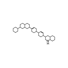 C1=CC(C2CNC3CCCCC3C2)CCC1C1CC=C(C2CCC3CCC(C4CCCCC4)CC3C2)CC1